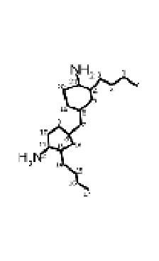 CCCCC1CC(CC2CCC(N)C(CCCC)C2)CCC1N